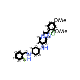 COC1=CC(Cl)(OC)C(c2cn3ccc(N[C@H]4CC[C@@H](NCc5ccccc5F)CC4)cc3n2)C=C1